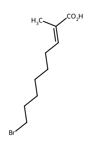 CC(=CCCCCCCBr)C(=O)O